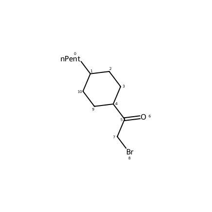 CCCCCC1CCC(C(=O)CBr)CC1